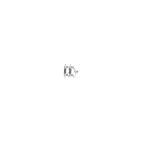 C=C.C=C.[Ce]